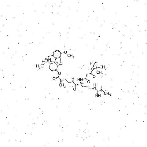 CNC(=N)NCCC[C@H](NC(=O)CC(=O)OC(C)(C)C)C(=O)NCCN(C)C(=O)OC1=CCC2[C@H]3Cc4ccc(OC)c5c4[C@@]2(CCN3C)C1O5